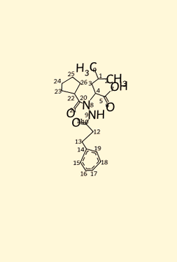 CC(C)CC(C(=O)O)N(NC(=O)CCc1ccccc1)C(=O)C1CCCC1